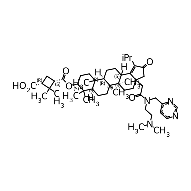 CC(C)C1=C2[C@H]3CC[C@@H]4[C@@]5(C)CC[C@H](OC(=O)[C@H]6C[C@@H](C(=O)O)C6(C)C)C(C)(C)[C@@H]5CC[C@@]4(C)[C@]3(C)CC[C@@]2(CC(=O)N(CCN(C)C)Cc2ccncn2)CC1=O